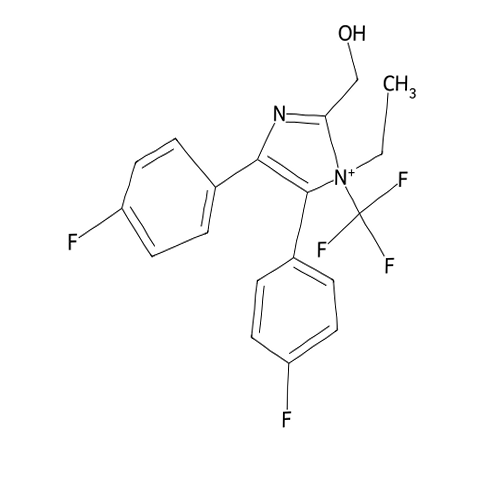 CC[N+]1(C(F)(F)F)C(CO)=NC(c2ccc(F)cc2)=C1c1ccc(F)cc1